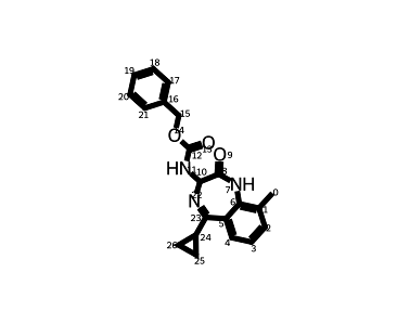 Cc1cccc2c1NC(=O)C(NC(=O)OCc1ccccc1)N=C2C1CC1